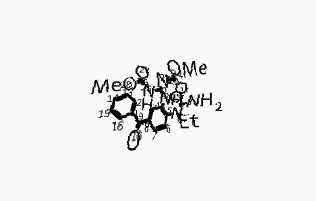 CCN(C(N)=O)c1ccc(C(=O)c2ccccc2)cc1NC(=NC(=O)OC)NC(=O)OC